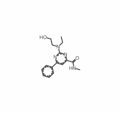 CCN(CCO)c1nc(C(=O)NC)cc(-c2ccccc2)n1